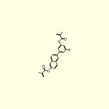 C=C(C)C(=O)Oc1cc(F)cc(-c2ccc3cc(OC(=O)C(=C)C)ccc3c2)c1